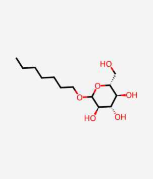 CCCCCCCOC1O[C@H](CO)[C@@H](O)[C@H](O)[C@H]1O